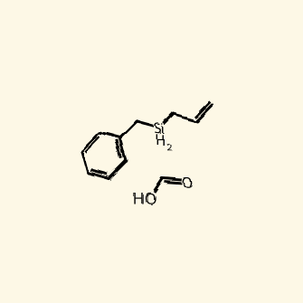 C=CC[SiH2]Cc1ccccc1.O=CO